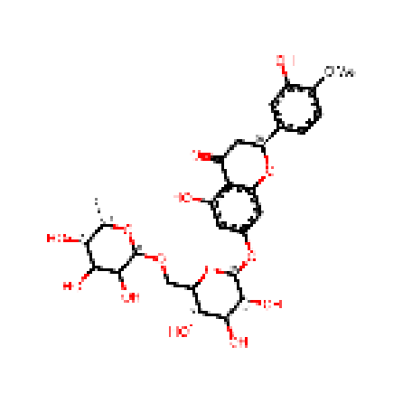 COc1ccc([C@@H]2CC(=O)c3c(O)cc(O[C@@H]4OC(CO[C@@H]5O[C@@H](C)[C@H](O)C(O)C5O)[C@@H](O)C(O)[C@@H]4O)cc3O2)cc1O